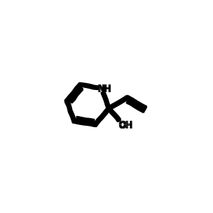 C=CC1(O)C=CC=CN1